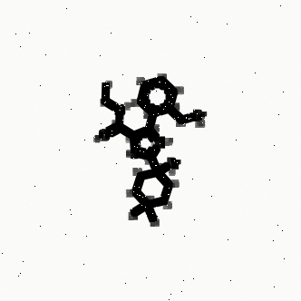 CCOC(=O)c1sc(C2(Br)CCC(C)(C)CC2)nc1-c1ccccc1CBr